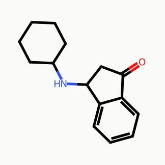 O=C1CC(NC2CCCCC2)c2ccccc21